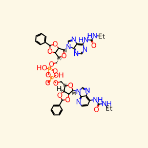 CCNC(=O)Nc1ncnc2c1ncn2[C@@H]1O[C@H](COP(=O)(O)OP(=O)(O)OC[C@H]2O[C@@H](n3cnc4c(NC(=O)NCC)ccnc43)C3OC(c4ccccc4)O[C@H]32)C2OC(c3ccccc3)OC21